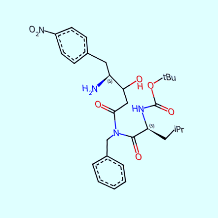 CC(C)C[C@H](NC(=O)OC(C)(C)C)C(=O)N(Cc1ccccc1)C(=O)CC(O)[C@@H](N)Cc1ccc([N+](=O)[O-])cc1